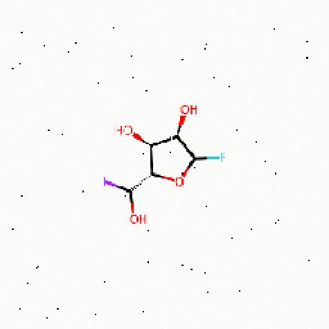 OC(I)[C@H]1O[C](F)[C@H](O)[C@@H]1O